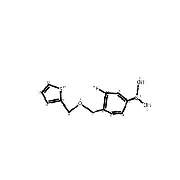 OB(O)c1ccc(COCc2cccs2)c(F)c1